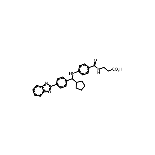 O=C(O)CCNC(=O)c1ccc(NC(c2ccc(-c3nc4ccccc4o3)cc2)C2CCCC2)cc1